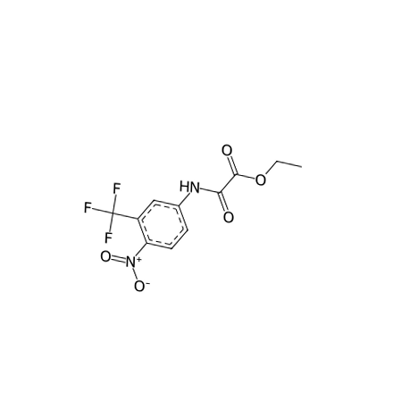 CCOC(=O)C(=O)Nc1ccc([N+](=O)[O-])c(C(F)(F)F)c1